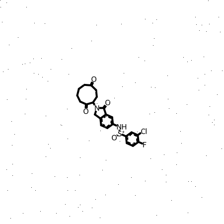 O=C1CCCCC(=O)C(N2Cc3ccc(N[S+]([O-])c4ccc(F)c(Cl)c4)cc3C2=O)CC1